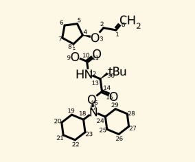 C=CCO[C@@H]1CCC[C@H]1OC(=O)N[C@H](C(=O)ON(C1CCCCC1)C1CCCCC1)C(C)(C)C